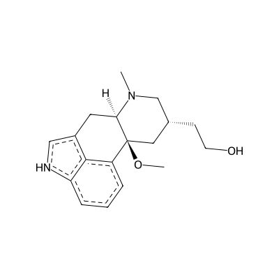 CO[C@]12C[C@@H](CCO)CN(C)[C@@H]1Cc1c[nH]c3cccc2c13